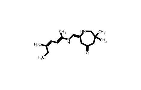 CC/C(C)=C\C=C(/C)N/C=C1\CC(=O)CC(C)(C)CN1